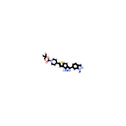 Cn1ncc2ccc(-c3n[nH]c4c3Cc3sc(C5CCN(C(=O)OC(C)(C)C)CC5)cc3-4)cc21